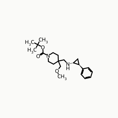 COCC1(CN[C@@H]2C[C@H]2c2ccccc2)CCN(C(=O)OC(C)(C)C)CC1